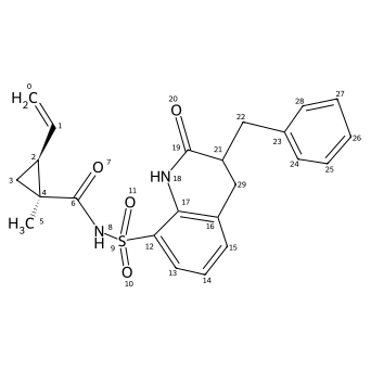 C=C[C@@H]1C[C@]1(C)C(=O)NS(=O)(=O)c1cccc2c1NC(=O)C(Cc1ccccc1)C2